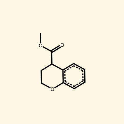 COC(=O)C1CCOc2ccccc21